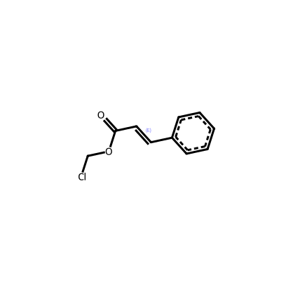 O=C(/C=C/c1ccccc1)OCCl